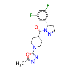 Cc1nnc(N2CCC(C(=O)N3N=CC[C@H]3c3cc(F)cc(F)c3)CC2)o1